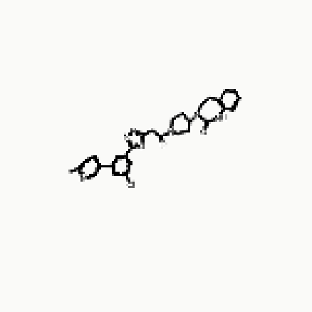 Cc1ccc(-c2cc(Cl)cc(-c3nnc(CC(=O)N4CCC(N5CCC6=C(C=CCC6)NC5=O)CC4)o3)c2)cn1